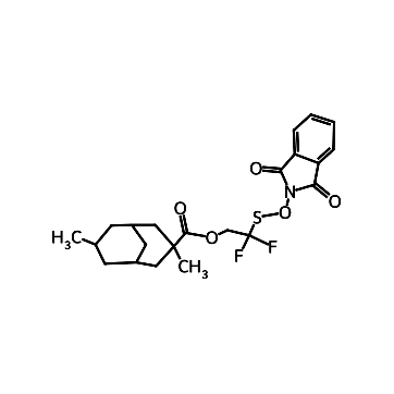 CC1CC2CC(C1)CC(C)(C(=O)OCC(F)(F)SON1C(=O)c3ccccc3C1=O)C2